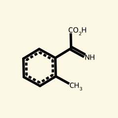 Cc1ccccc1C(=N)C(=O)O